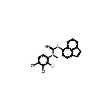 CN(C(=N)Nc1ccc2c3c(cccc13)C=C2)c1ccc(Cl)c(Cl)c1Cl